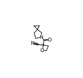 N#C[C@@]1(C(=O)N2CCC3(CC3)C2)CCO1